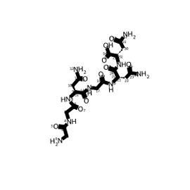 NCC(=O)NCC(=O)N[C@@H](CC(N)=O)C(=O)NCC(=O)N[C@@H](CC(N)=O)C(=O)N[C@@H](CC(N)=O)C(=O)O